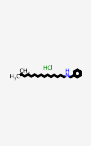 CC(C)CCCCCCCCCCCCCNCc1ccccc1.Cl